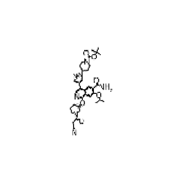 CC(C)Oc1cc2c(O[C@@H]3CCCN(C(=O)CC#N)C3)ncc(-c3cnn(C4CCN(C(=O)OC(C)(C)C)CC4)c3)c2cc1C(N)=O